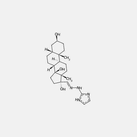 C[C@]12CC[C@H](O)C[C@H]1CC[C@@H]1[C@@H]2CC[C@]2(C)[C@@](O)(/C=N/Nc3ncc[nH]3)CC[C@]12O